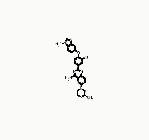 Cc1cc(-c2nc(N)c3nc(N4CCN[C@H](C)C4)ccc3n2)ccc1Oc1ccc2c(c1)ncn2C